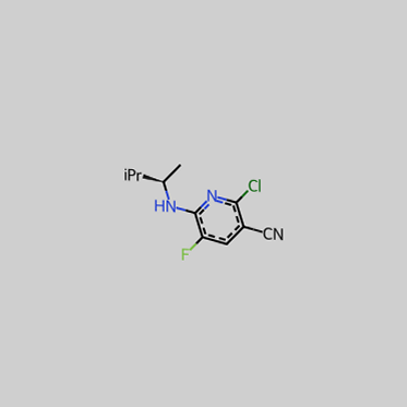 CC(C)[C@@H](C)Nc1nc(Cl)c(C#N)cc1F